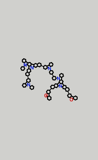 c1ccc(-n2c3ccccc3c3cc(-c4ccc5cc6c7c8c(cc9c%10cc%11ccc(-c%12ccc%13c(c%12)c%12ccccc%12n%13-c%12ccc(-c%13cccc(-n%14c%15ccccc%15c%15cc%16c%17cc%18ccc(-c%19ccc%20oc%21ccccc%21c%20c%19)cc%18cc%17n%17c%18cc%19cc(-c%20ccc%21oc%22ccccc%22c%21c%20)ccc%19cc%18c(c%15%14)c%16%17)c%13)cc%12)cc%11cc%10n(c6cc5c4)c97)c4ccccc4n8-c4ccccc4)ccc32)cc1